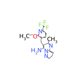 CCOc1nc(C(F)(F)F)ccc1CC1=C(N)N2N=CCC=C2N=C1C